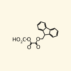 O=C(O)OC(=O)C(=O)OCC1c2ccccc2-c2ccccc21